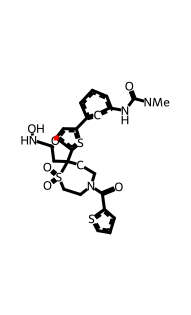 CNC(=O)Nc1cccc(-c2ccc(C3(CC(=O)NO)CCN(C(=O)c4cccs4)CCS3(=O)=O)s2)c1